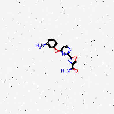 NC(=O)c1coc(-c2nccc(Oc3cccc(N)c3)n2)n1